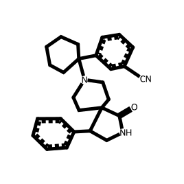 N#Cc1cccc(C2(N3CCC4(CC3)C(=O)NCC4c3ccccc3)CCCCC2)c1